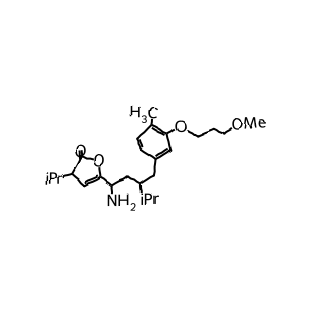 COCCCOc1cc(CC(CC(N)C2=CC(C(C)C)C(=O)O2)C(C)C)ccc1C